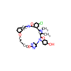 Cc1c2cc(n1C)-c1cc(Cl)ccc1C(=O)N1CCc3c(cccc3OCCCCCOc3ncc(cn3)N(c3ccc(O)cc3)C2=O)C1